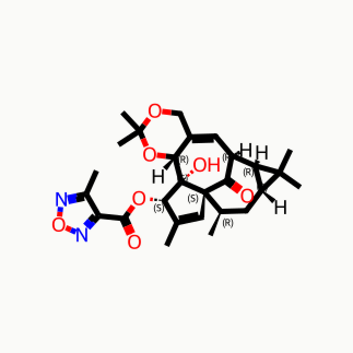 CC1=C[C@]23C(=O)[C@@H](C=C4COC(C)(C)O[C@H]4[C@]2(O)[C@H]1OC(=O)c1nonc1C)[C@H]1[C@@H](C[C@H]3C)C1(C)C